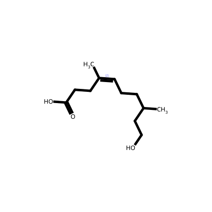 C/C(=C/CCC(C)CCO)CCC(=O)O